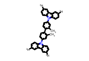 [2H]c1ccc2c(c1)c1cc([2H])ccc1n2-c1ccc(-c2ccc(-n3c4ccc([2H])cc4c4cc([2H])ccc43)cc2C)c(C)c1